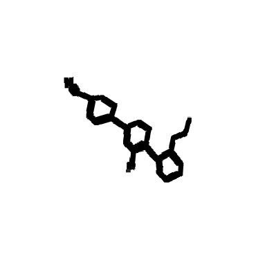 CCCc1ccccc1-c1ccc(-c2ccc(C#N)cc2)cc1F